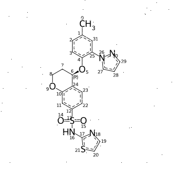 Cc1ccc(O[C@@H]2CCOc3cc(S(=O)(=O)Nc4nccs4)ccc32)c(-n2cccn2)c1